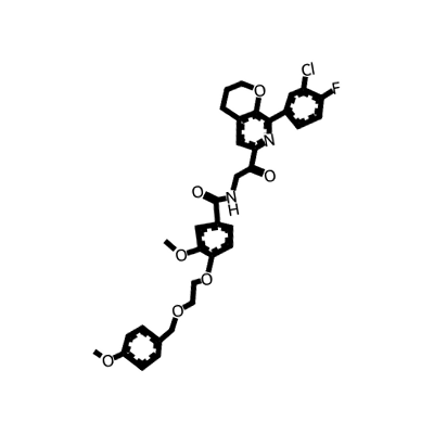 COc1ccc(COCCOc2ccc(C(=O)NCC(=O)c3cc4c(c(-c5ccc(F)c(Cl)c5)n3)OCCC4)cc2OC)cc1